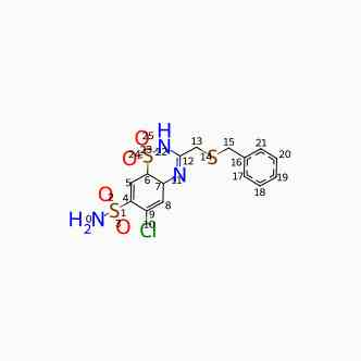 NS(=O)(=O)C1=CC2C(C=C1Cl)N=C(CSCc1ccccc1)NS2(=O)=O